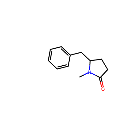 CN1C(=O)CCC1Cc1ccccc1